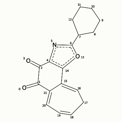 O=C1C(=O)c2nc(C3CCCCC3)oc2C2=CCC=CC=C12